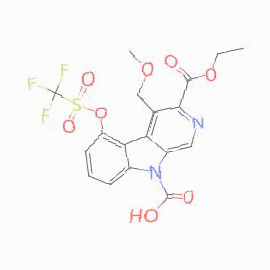 CCOC(=O)c1ncc2c(c1COC)c1c(OS(=O)(=O)C(F)(F)F)cccc1n2C(=O)O